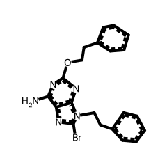 Nc1nc(OCCc2ccccc2)nc2c1nc(Br)n2CCc1ccccc1